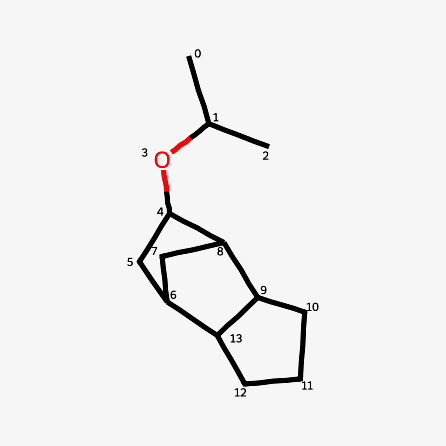 CC(C)OC1CC2CC1C1CCCC21